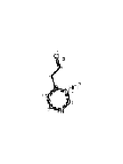 C=CCc1ncncn1.Cl